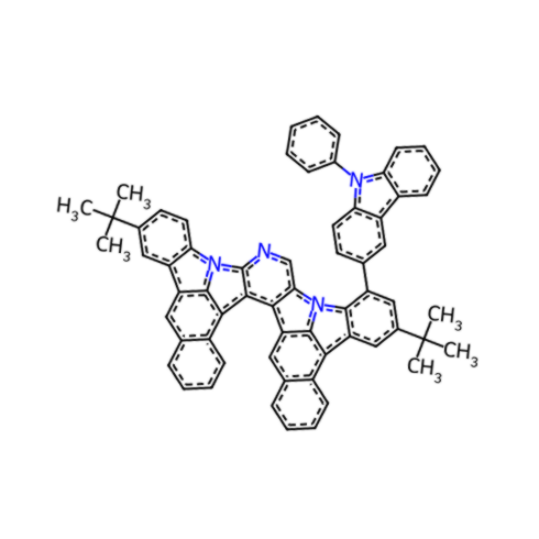 CC(C)(C)c1ccc2c(c1)c1cc3ccccc3c3c4c5c6cc7ccccc7c7c8cc(C(C)(C)C)cc(-c9ccc%10c(c9)c9ccccc9n%10-c9ccccc9)c8n(c5cnc4n2c13)c67